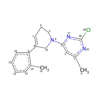 Cc1cc(N2CCC=C(c3ccccc3C)C2)nc(Cl)n1